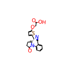 N#Cc1ccccc1N1C(=O)CC[C@@H]1Cc1ccc(OCC(=O)O)s1